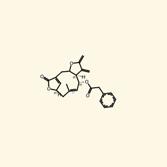 C=C1OC2CC3=C[C@@H](C/C(C)=C/[C@@H](OC(=O)Cc4ccccc4)[C@@H]2C1=C)OC3=O